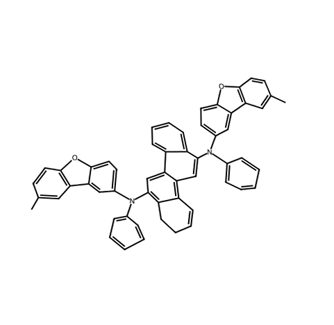 Cc1ccc2oc3ccc(N(c4ccccc4)c4cc5c(cc(N(c6ccccc6)c6ccc7oc8ccc(C)cc8c7c6)c6ccccc65)c5c4CCC=C5)cc3c2c1